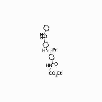 CCOC(=O)CCNC(=O)c1ccc(C(Nc2ccc(-c3nnc(-c4ccccc4)o3)cc2)C(C)C)cc1